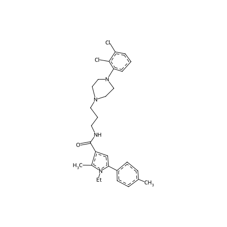 CCn1c(-c2ccc(C)cc2)cc(C(=O)NCCCN2CCN(c3cccc(Cl)c3Cl)CC2)c1C